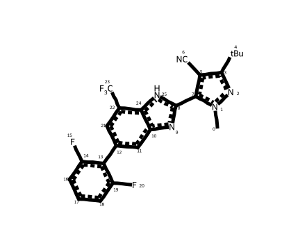 Cn1nc(C(C)(C)C)c(C#N)c1-c1nc2cc(-c3c(F)cccc3F)cc(C(F)(F)F)c2[nH]1